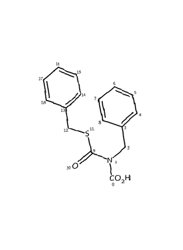 O=C(O)N(Cc1ccccc1)C(=O)SCc1ccccc1